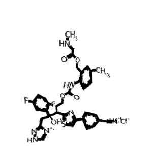 CNCC(=O)OCc1cc(C)ccc1NC(=O)OCC[C@@H](c1nc(-c2ccc(C#N)cc2)cs1)[C@](O)(CC1=NNC=[N+]1)c1cc(F)ccc1F.Cl.[Cl-]